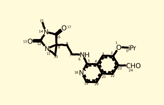 CC(C)Oc1cc2c(NCCC34CN3C(=O)N(C)C4=O)nccc2cc1C=O